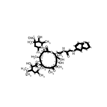 COC1(C)CC(O[C@H]2[C@H](C)[C@@H](OC3OC(C)CC(N(C)C)C3O)[C@](C)(O)C[C@@H](C)C(=O)[C@H](C)[C@@H](O)[C@](C)(O)[C@@H](CCNC(=O)CNc3ccc4ncccc4c3)OC(=O)[C@@H]2C)OC(C)C1O